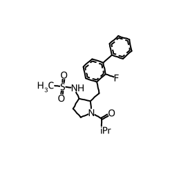 CC(C)C(=O)N1CCC(NS(C)(=O)=O)C1Cc1cccc(-c2ccccc2)c1F